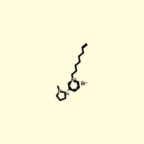 C=CCCCCCC[n+]1cccc([C@@H]2CCCN2C)c1.[Br-]